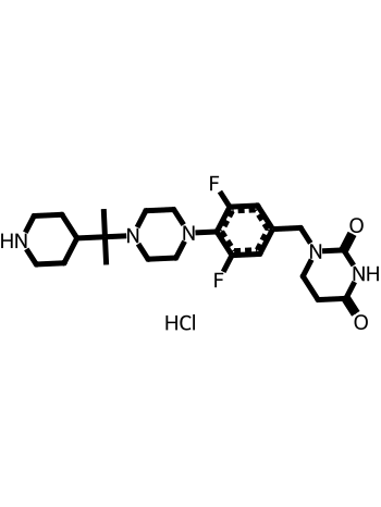 CC(C)(C1CCNCC1)N1CCN(c2c(F)cc(CN3CCC(=O)NC3=O)cc2F)CC1.Cl